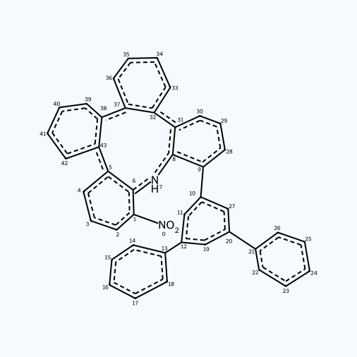 O=[N+]([O-])c1cccc2c1[nH]c1c(-c3cc(-c4ccccc4)cc(-c4ccccc4)c3)cccc1c1ccccc1c1ccccc21